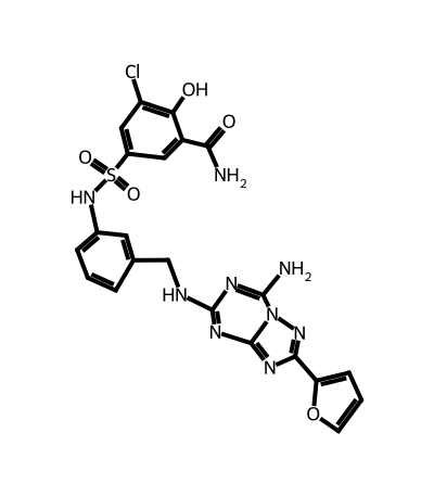 NC(=O)c1cc(S(=O)(=O)Nc2cccc(CNc3nc(N)n4nc(-c5ccco5)nc4n3)c2)cc(Cl)c1O